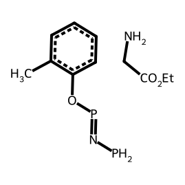 CCOC(=O)CN.Cc1ccccc1OP=NP